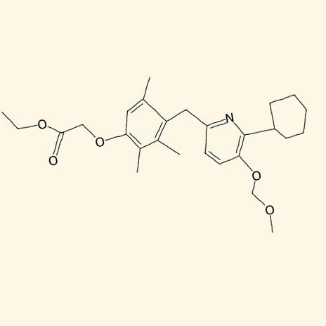 CCOC(=O)COc1cc(C)c(Cc2ccc(OCOC)c(C3CCCCC3)n2)c(C)c1C